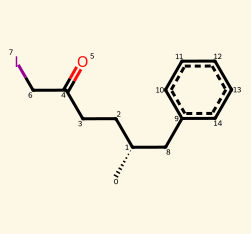 C[C@H](CCC(=O)CI)Cc1ccccc1